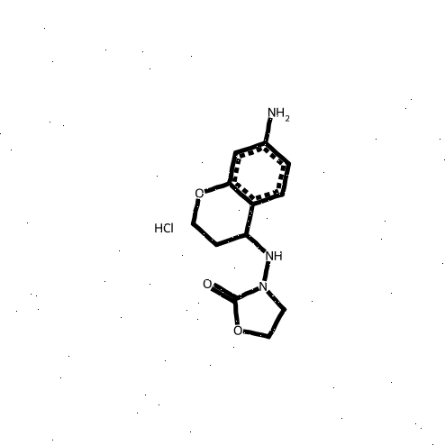 Cl.Nc1ccc2c(c1)OCCC2NN1CCOC1=O